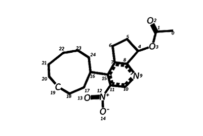 CC(=O)OC1CCc2c1ncc([N+](=O)[O-])c2C1CCCCCCCC1